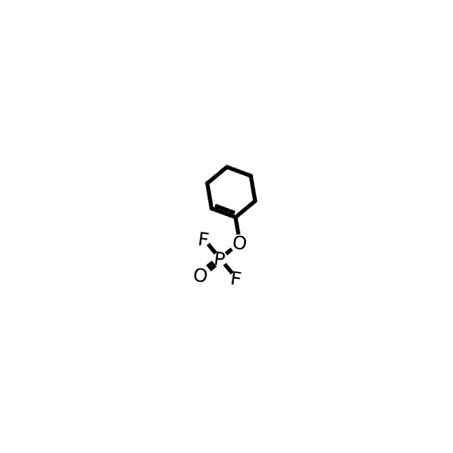 O=P(F)(F)OC1=CCCCC1